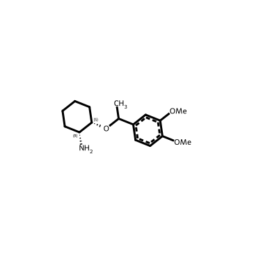 COc1ccc(C(C)O[C@H]2CCCC[C@H]2N)cc1OC